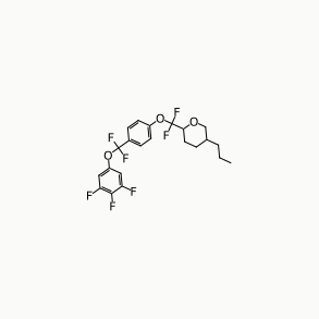 CCCC1CCC(C(F)(F)Oc2ccc(C(F)(F)Oc3cc(F)c(F)c(F)c3)cc2)OC1